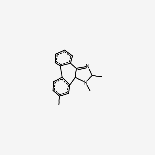 Cc1ccc2c(c1)C1C(=NC(C)N1C)c1ccccc1-2